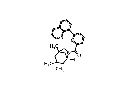 CC1(C)C[C@@H]2C[C@@](C)(CN2C(=O)c2cccc(-c3cccc4cccnc34)n2)C1